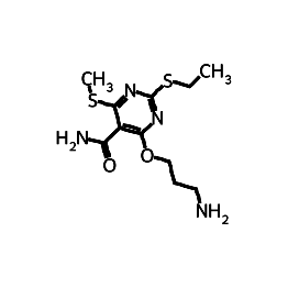 CCSc1nc(OCCCN)c(C(N)=O)c(SC)n1